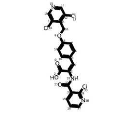 O=C(O)/C(=C\c1ccc(OCc2c(Cl)cncc2Cl)cc1)NC(=O)c1cccnc1Cl